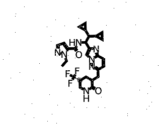 CCn1nccc1C(=O)NC(c1cn2nc(CC3C[C@@H](C(F)(F)F)CNC3=O)ccc2n1)C(C1CC1)C1CC1